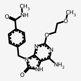 CNC(=O)c1ccc(Cn2c(=O)[nH]c3c(N)nc(OCCOC)nc32)cc1